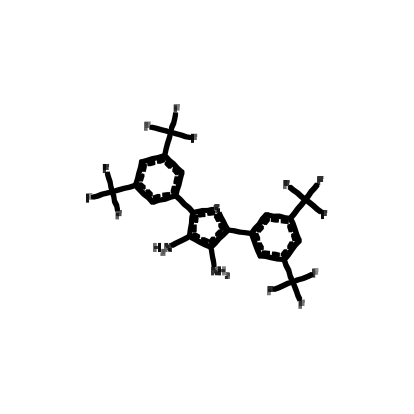 Nc1c(-c2cc(C(F)(F)F)cc(C(F)(F)F)c2)sc(-c2cc(C(F)(F)F)cc(C(F)(F)F)c2)c1N